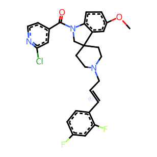 COc1ccc2c(c1)C1(CCN(C/C=C/c3ccc(F)cc3F)CC1)CN2C(=O)c1ccnc(Cl)c1